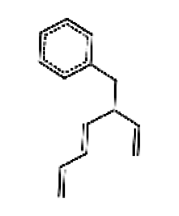 C=CC=CC(C=C)Cc1ccccc1